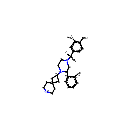 [2H]C([2H])(c1ccc(OC)c(OC)c1)N1CCN(C2CC3(CCNCC3)C2)C(c2ccccc2C(C)C)C1